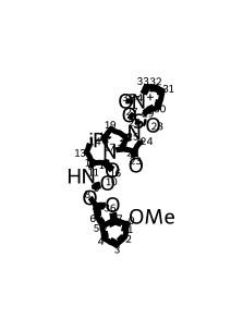 COc1cccc2cc(OC(=O)NC(CC(C)C)C(=O)N3CCC4C3C(=O)CN4S(=O)(=O)c3cccc[n+]3[O-])oc12